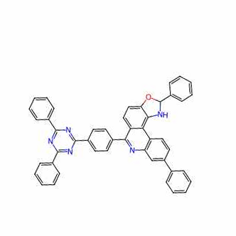 c1ccc(-c2ccc3c(c2)nc(-c2ccc(-c4nc(-c5ccccc5)nc(-c5ccccc5)n4)cc2)c2ccc4c(c23)NC(c2ccccc2)O4)cc1